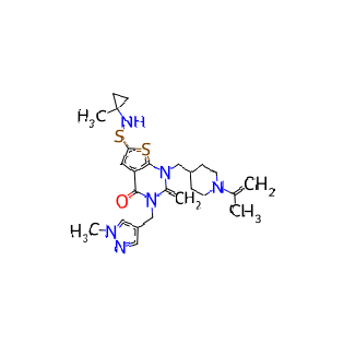 C=C(C)N1CCC(CN2C(=C)N(Cc3cnn(C)c3)C(=O)c3cc(SNC4(C)CC4)sc32)CC1